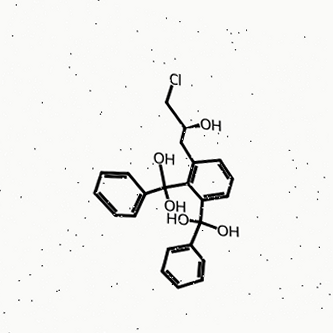 O[C@H](CCl)Cc1cccc(C(O)(O)c2ccccc2)c1C(O)(O)c1ccccc1